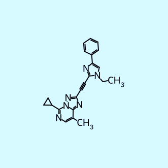 CCn1cc(-c2ccccc2)nc1C#Cc1nc2c(C)cnc(C3CC3)n2n1